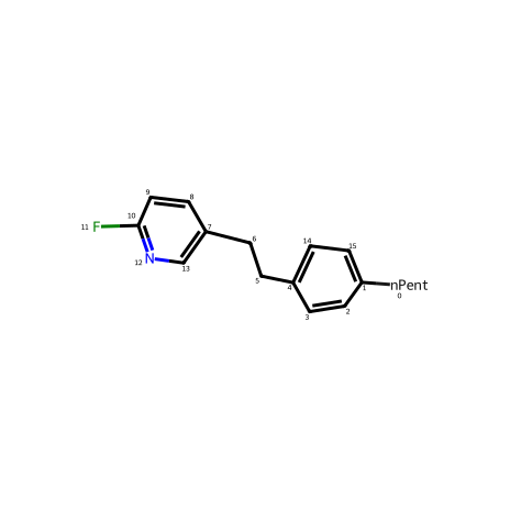 CCCCCc1ccc(CCc2ccc(F)nc2)cc1